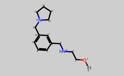 CCOCCNCc1cccc(CN2CCCC2)c1